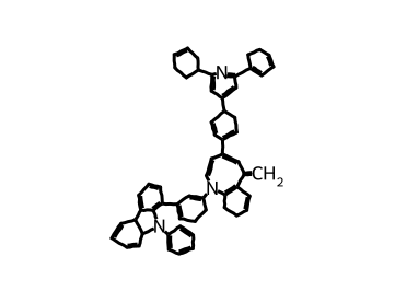 C=C1/C=C(C2=CCC(c3cc(C4=CC=CCC4)nc(C4CC=CCC4)c3)C=C2)\C=C/N(C2=CC(c3cccc4c3N(c3ccccc3)C3C=CC=CC43)=CCC2)C2=C1C=CCC2